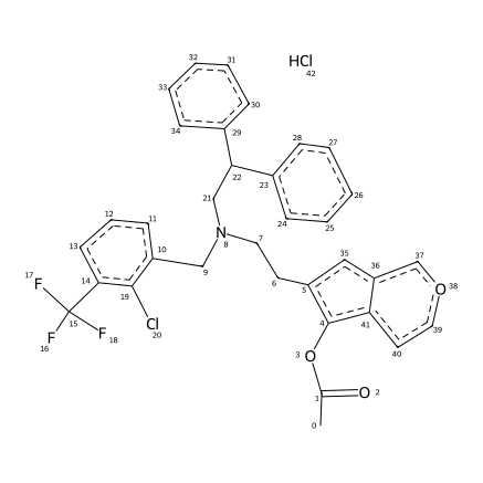 CC(=O)Oc1c(CCN(Cc2cccc(C(F)(F)F)c2Cl)CC(c2ccccc2)c2ccccc2)cc2coccc1-2.Cl